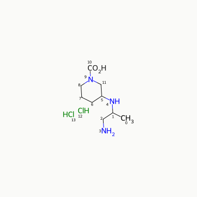 CC(CN)NC1CCCN(C(=O)O)C1.Cl.Cl